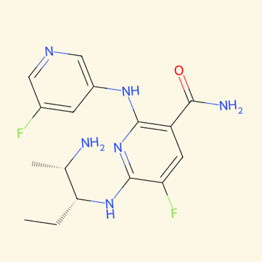 CC[C@@H](Nc1nc(Nc2cncc(F)c2)c(C(N)=O)cc1F)[C@H](C)N